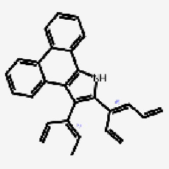 C=C/C=C(\C=C)c1[nH]c2c3ccccc3c3ccccc3c2c1/C(C=C)=C/C